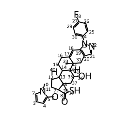 Cn1cccc1O[C@]1(C(=O)S)CC[C@H]2C3CCC4=Cc5c(cnn5-c5ccc(F)cc5)C[C@]4(C)[C@H]3[C@@H](O)C[C@@]21C